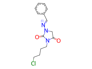 O=C1CN(/N=C/c2ccccc2)C(=O)N1CCCCCl